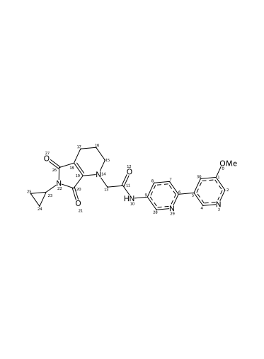 COc1cncc(-c2ccc(NC(=O)CN3CCCC4=C3C(=O)N(C3CC3)C4=O)cn2)c1